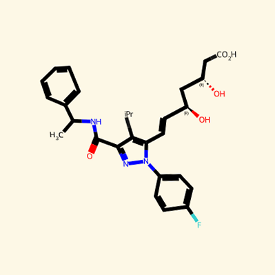 CC(C)c1c(C(=O)NC(C)c2ccccc2)nn(-c2ccc(F)cc2)c1C=C[C@H](O)C[C@@H](O)CC(=O)O